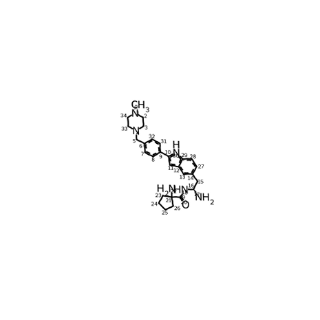 CN1CCN(Cc2ccc(-c3cc4cc(C[C@@H](N)NC(=O)C5(N)CCCC5)ccc4[nH]3)cc2)CC1